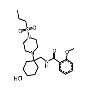 CCCS(=O)(=O)N1CCN(C2(CNC(=O)c3ccccc3OC)CCCCC2)CC1.Cl